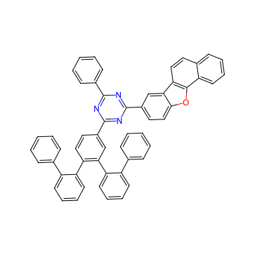 c1ccc(-c2nc(-c3ccc(-c4ccccc4-c4ccccc4)c(-c4ccccc4-c4ccccc4)c3)nc(-c3ccc4oc5c6ccccc6ccc5c4c3)n2)cc1